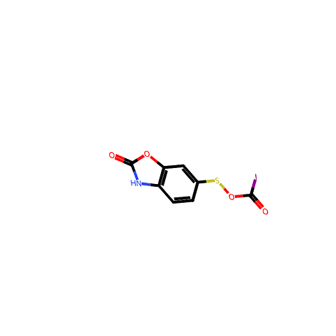 O=C(I)OSc1ccc2[nH]c(=O)oc2c1